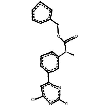 CN(C(=O)OCc1ccccc1)c1cccc(-c2cc(Cl)nc(Cl)n2)c1